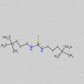 CC(C)(CCCNC(=S)NCCCC(C)(C)S(=O)(=O)O)S(=O)(=O)O